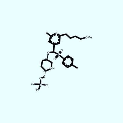 COCCCCc1cc(C(O[C@@H]2CC[C@@H](CO[Si](C(C)C)(C(C)C)C(C)C)NC2)S(=O)(=O)c2ccc(C)cc2)cc(C)n1